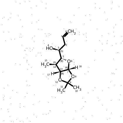 C=CC[C@H](O)[C@@H]1O[C@@H]2OC(C)(C)O[C@@H]2[C@H]1C